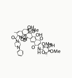 CO[C@@H]1[C@@H](O)[C@@H](OC)C(NC2=CC(=O)c3c(cc4c(c3O)C(=O)[C@]3(OC)[C@H](O)Cc5cc(C)c(C(=O)N6CCN(c7ccccc7)CC6)c(O)c5[C@]3(O)C4=O)C2=O)O[C@H]1C